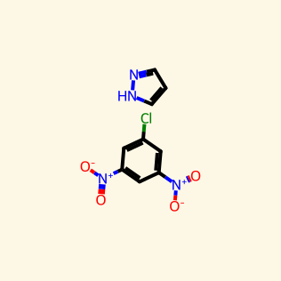 O=[N+]([O-])c1cc(Cl)cc([N+](=O)[O-])c1.c1cn[nH]c1